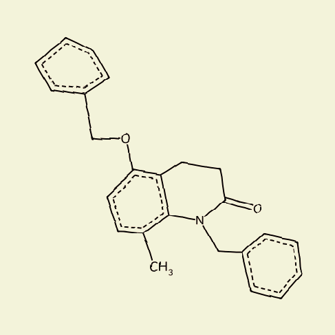 Cc1ccc(OCc2ccccc2)c2c1N(Cc1ccccc1)C(=O)CC2